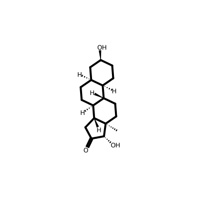 C[C@@]12CC[C@H]3[C@@H]4CC[C@H](O)C[C@@H]4CC[C@@H]3[C@H]1CC(=O)[C@H]2O